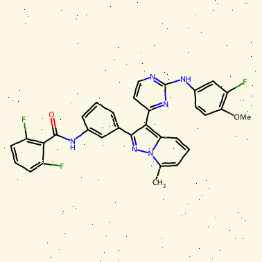 COc1ccc(Nc2nccc(-c3c(-c4cccc(NC(=O)c5c(F)cccc5F)c4)nn4c(C)cccc34)n2)cc1F